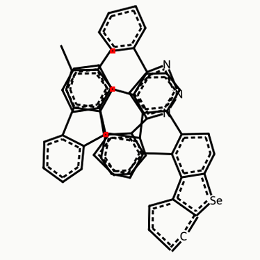 Cc1cc2c(c(-c3c(-c4ccccc4)nnnc3-c3c(-c4ccccc4)cccc3-c3c(-c4ccccc4-c4ccccc4)ccc4[se]c5ccccc5c34)c1C)Cc1ccccc1-2